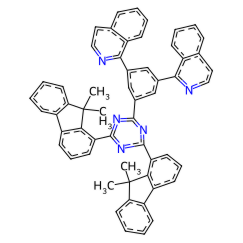 CC1(C)c2ccccc2-c2cccc(-c3nc(-c4cc(-c5nccc6ccccc56)cc(-c5nccc6ccccc56)c4)nc(-c4cccc5c4C(C)(C)c4ccccc4-5)n3)c21